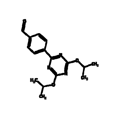 CC(C)Oc1nc(OC(C)C)nc(-c2ccc(C=O)cc2)n1